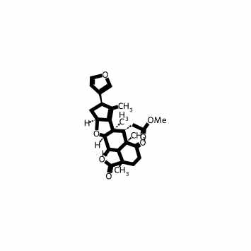 COC(=O)C[C@H]1[C@]2(C)C3=C(C)[C@H](c4ccoc4)C[C@@H]3O[C@@H]2[C@@H]2OC(=O)[C@]3(C)CCC(=O)[C@@]1(C)C23